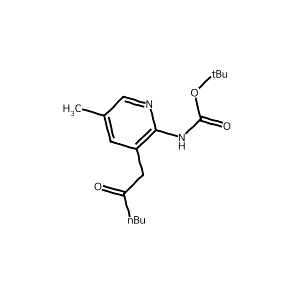 CCCCC(=O)Cc1cc(C)cnc1NC(=O)OC(C)(C)C